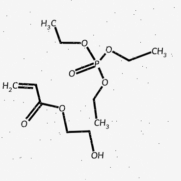 C=CC(=O)OCCO.CCOP(=O)(OCC)OCC